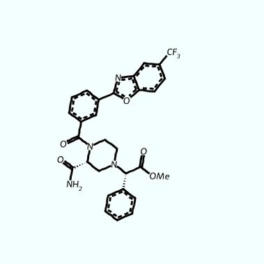 COC(=O)[C@H](c1ccccc1)N1CCN(C(=O)c2cccc(-c3nc4cc(C(F)(F)F)ccc4o3)c2)[C@@H](C(N)=O)C1